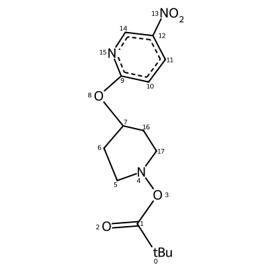 CC(C)(C)C(=O)ON1CCC(Oc2ccc([N+](=O)[O-])cn2)CC1